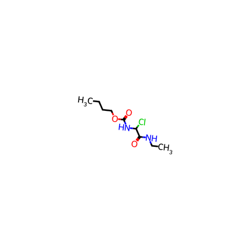 CCCCOC(=O)NC(Cl)C(=O)NCC